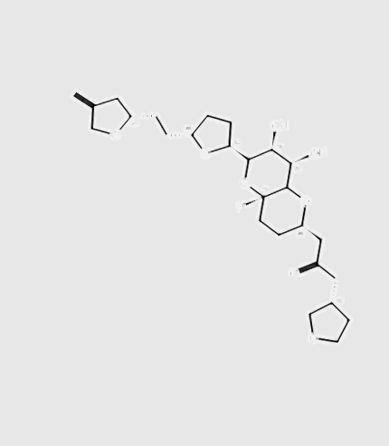 C=C1CO[C@@H](CC[C@@H]2CC[C@@H](C3O[C@H]4CC[C@H](CC(=O)C[C@@H]5CCOC5)OC4[C@H](O)[C@@H]3O)O2)C1